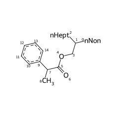 CCCCCCCCCC(CCCCCCC)COC(=O)C(C)c1ccccc1